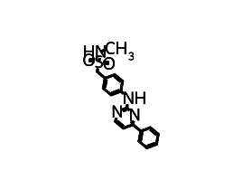 CNS(=O)(=O)Cc1ccc(Nc2nccc(-c3ccccc3)n2)cc1